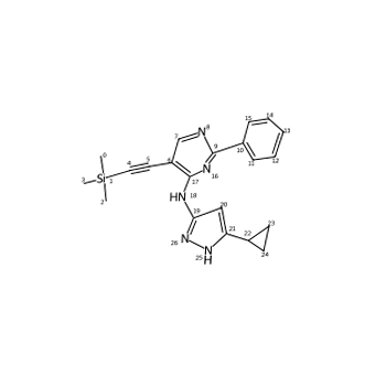 C[Si](C)(C)C#Cc1cnc(-c2ccccc2)nc1Nc1cc(C2CC2)[nH]n1